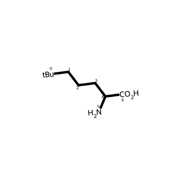 CC(C)(C)CCCC(N)C(=O)O